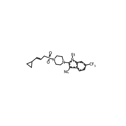 CCn1c(N2CCN(S(=O)(=O)CC=CC3CC3)CC2)c(C#N)c2ccc(C(F)(F)F)cc21